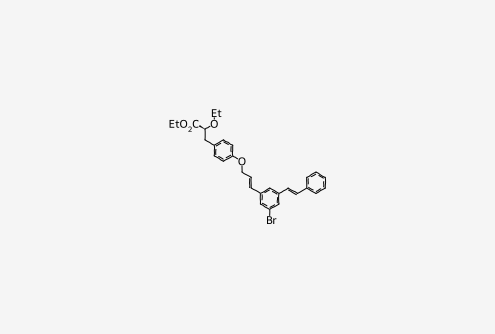 CCOC(=O)[C@H](Cc1ccc(OCC=Cc2cc(Br)cc(C=Cc3ccccc3)c2)cc1)OCC